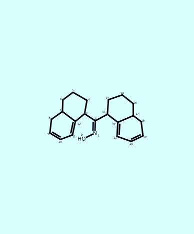 ON=C(C1CCCC2CC=CC=C21)C1CCCC2CC=CC=C21